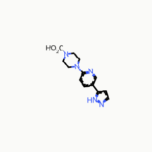 O=C(O)N1CCN(c2ccc(-c3ccn[nH]3)cn2)CC1